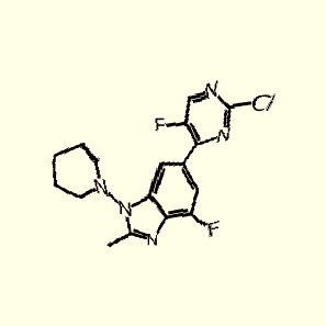 Cc1nc2c(F)cc(-c3nc(Cl)ncc3F)cc2n1N1CCCCC1